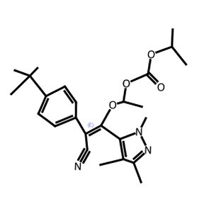 Cc1nn(C)c(/C(OC(C)OC(=O)OC(C)C)=C(\C#N)c2ccc(C(C)(C)C)cc2)c1C